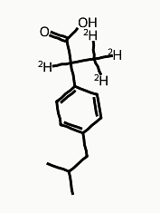 [2H]C([2H])([2H])C([2H])(C(=O)O)c1ccc(CC(C)C)cc1